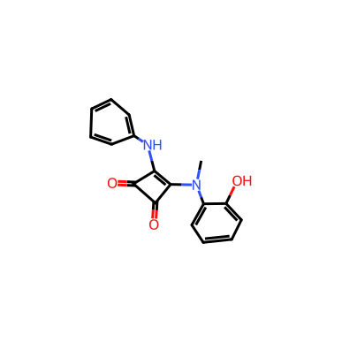 CN(c1ccccc1O)c1c(Nc2ccccc2)c(=O)c1=O